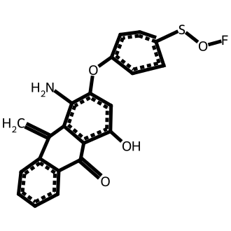 C=C1c2ccccc2C(=O)c2c(O)cc(Oc3ccc(SOF)cc3)c(N)c21